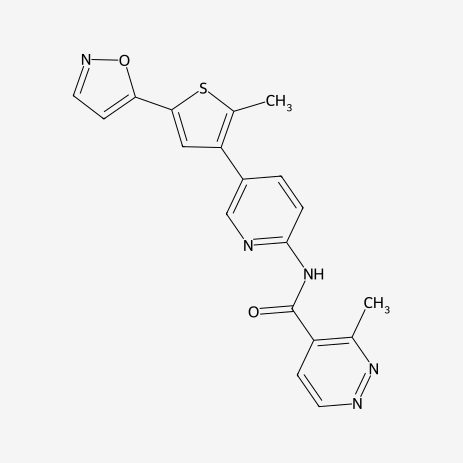 Cc1nnccc1C(=O)Nc1ccc(-c2cc(-c3ccno3)sc2C)cn1